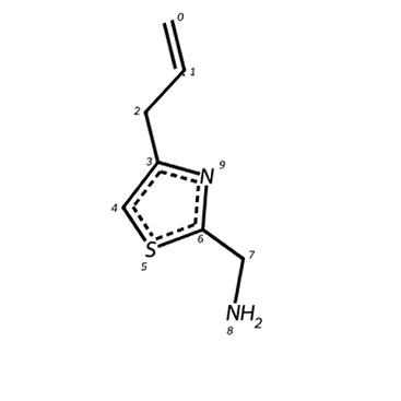 C=[C]Cc1csc(CN)n1